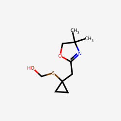 CC1(C)COC(CC2(SCO)CC2)=N1